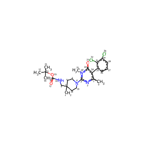 Cc1nc(N2CCC(C)(CNC(=O)OC(C)(C)C)CC2)n(C)c(=O)c1-c1cccc(Cl)c1Cl